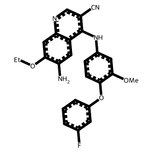 CCOc1cc2ncc(C#N)c(Nc3ccc(Oc4cccc(F)c4)c(OC)c3)c2cc1N